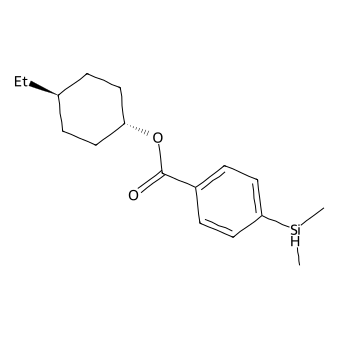 CC[C@H]1CC[C@H](OC(=O)c2ccc([SiH](C)C)cc2)CC1